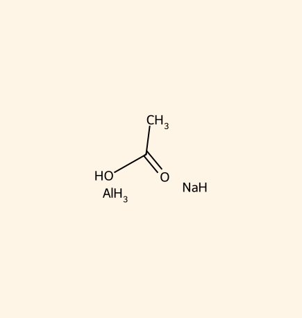 CC(=O)O.[AlH3].[NaH]